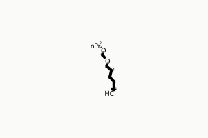 C#CCCCCOCOCCC